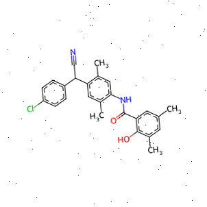 Cc1cc(C)c(O)c(C(=O)Nc2cc(C)c(C(C#N)c3ccc(Cl)cc3)cc2C)c1